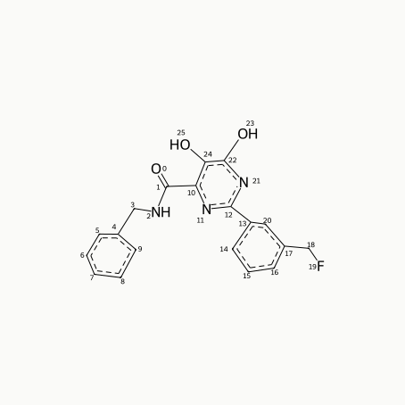 O=C(NCc1ccccc1)c1nc(-c2cccc(CF)c2)nc(O)c1O